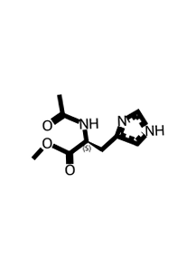 COC(=O)[C@H](Cc1c[nH]cn1)NC(C)=O